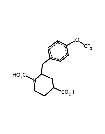 O=C(O)C1CCN(C(=O)O)C(Cc2ccc(OC(F)(F)F)cc2)C1